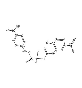 CC(C)(CC(=O)Nc1cc([N+](=O)[O-])ccc1Cl)C(=O)COc1ccc(C(=O)O)cc1